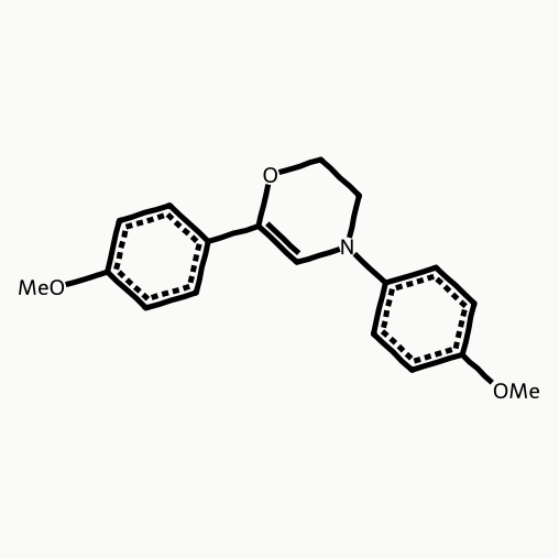 COc1ccc(C2=CN(c3ccc(OC)cc3)CCO2)cc1